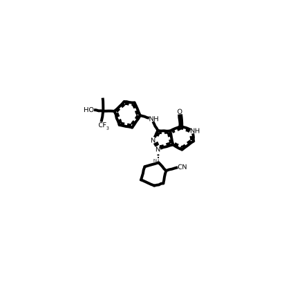 CC(O)(c1ccc(Nc2nn([C@H]3CCCCC3C#N)c3cc[nH]c(=O)c23)cc1)C(F)(F)F